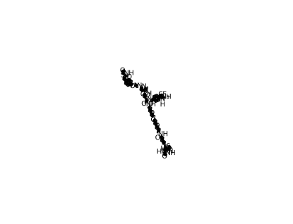 CN(CCOc1ccc(CC2SC(=O)NC2=O)cc1)c1cc(OC(=O)C[C@@H](NC(=O)c2ccc(C3(C(F)(F)F)NN3)cc2)C(=O)NCCCOCCOCCOCCCNC(=O)CCCC[C@@H]2SC[C@@H]3NC(=O)N[C@@H]32)ccn1